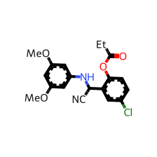 CCC(=O)Oc1ccc(Cl)cc1C(C#N)Nc1cc(OC)cc(OC)c1